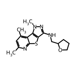 Cc1cc(C)c2c(n1)sc1c(NCC3CCCO3)nn(C)c12